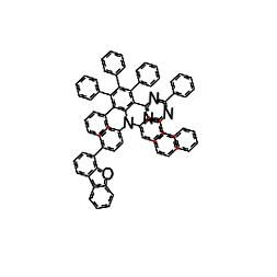 c1ccc(-c2ccc(N(c3ccc(-c4cccc5c4oc4ccccc45)cc3)c3c(-c4ccccc4)c(-c4ccccc4)c(-c4ccccc4)c(-c4ccccc4)c3-c3nc(-c4ccccc4)nc(-c4ccccc4)n3)cc2)cc1